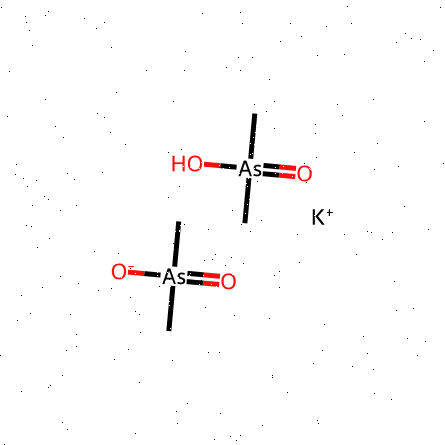 C[As](C)(=O)O.C[As](C)(=O)[O-].[K+]